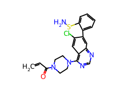 C=CC(=O)N1CCN(c2ncnc3cc(-c4ccccc4SN)c(Cl)cc23)CC1